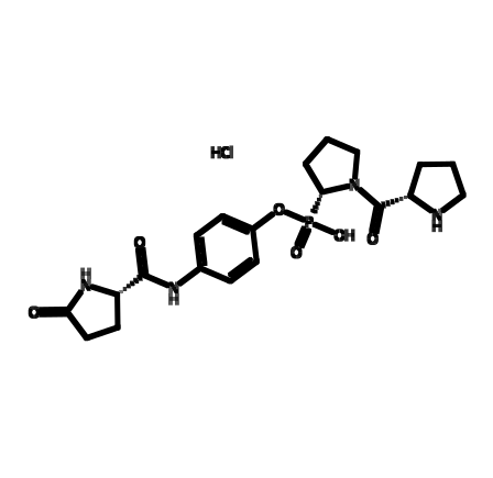 Cl.O=C1CC[C@@H](C(=O)Nc2ccc(OP(=O)(O)[C@@H]3CCCN3C(=O)[C@@H]3CCCN3)cc2)N1